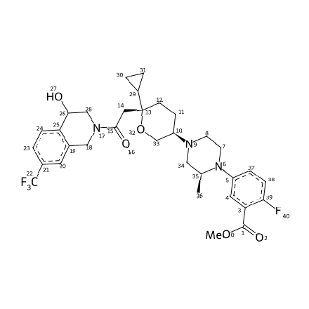 COC(=O)c1cc(N2CCN([C@@H]3CC[C@@](CC(=O)N4Cc5cc(C(F)(F)F)ccc5C(O)C4)(C4CC4)OC3)C[C@@H]2C)ccc1F